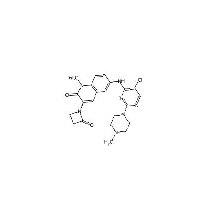 CN1CCN(c2ncc(Cl)c(Nc3ccc4c(c3)cc(N3CCC3=O)c(=O)n4C)n2)CC1